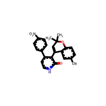 CC1(C)C=C(c2c(-c3ccc([N+](=O)[O-])cc3)cc[nH]c2=O)c2cc(C#N)ccc2O1